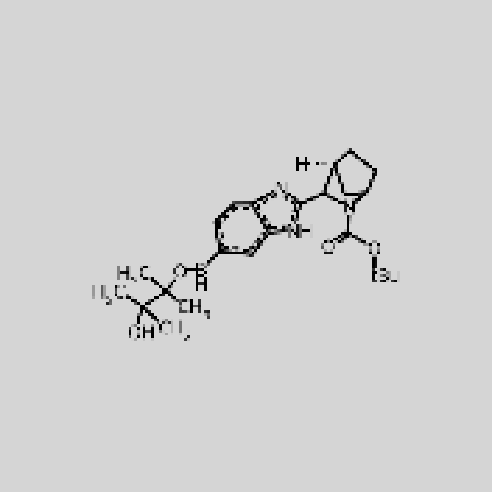 CC(C)(C)OC(=O)N1C2CC[C@@H](C2)C1c1nc2ccc(BOC(C)(C)C(C)(C)O)cc2[nH]1